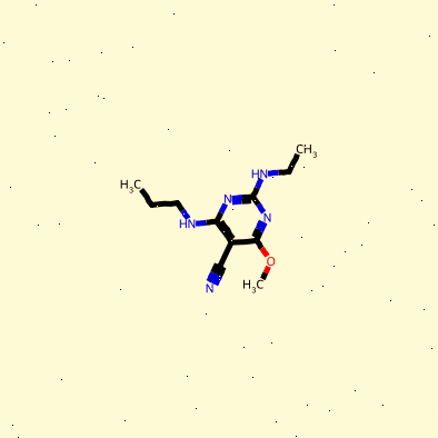 CCCNc1nc(NCC)nc(OC)c1C#N